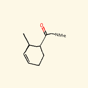 CNC(=O)C1CCC=CC1C